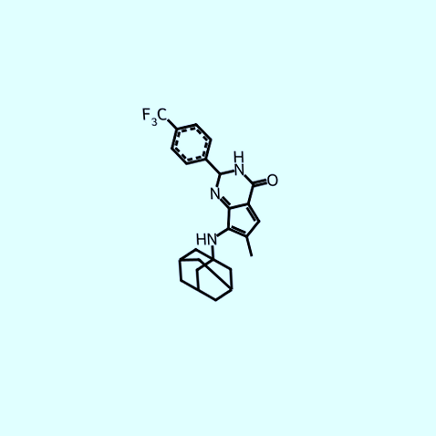 CC1=C(NC23CC4CC(CC(C4)C2)C3)C2=NC(c3ccc(C(F)(F)F)cc3)NC(=O)C2=C1